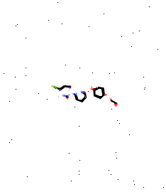 Cn1c(C(F)(F)F)cc(=O)n(-c2cccc(Oc3ccc(OCC=O)cc3)n2)c1=O